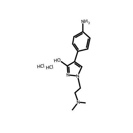 CN(C)CCn1cc(-c2ccc(N)cc2)c(O)n1.Cl.Cl